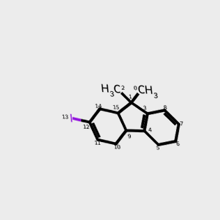 CC1(C)C2=C(CCC=C2)C2CC=C(I)CC21